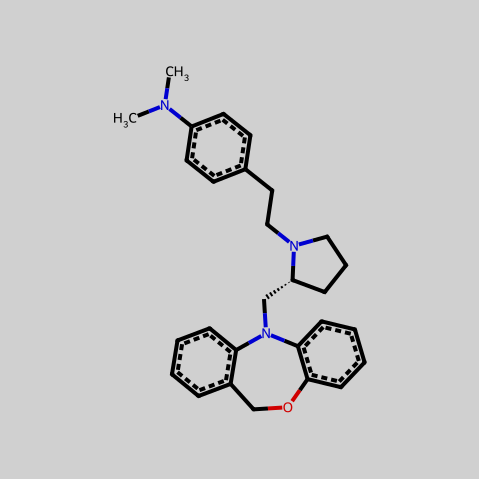 CN(C)c1ccc(CCN2CCC[C@@H]2CN2c3ccccc3COc3ccccc32)cc1